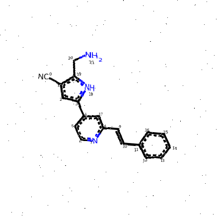 N#Cc1cc(-c2ccnc(/C=C/c3ccccc3)c2)[nH]c1CN